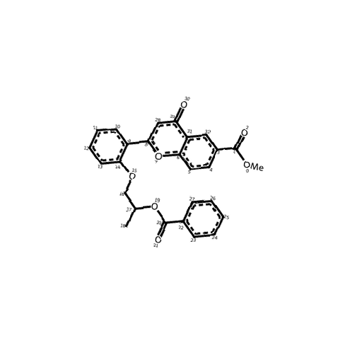 COC(=O)c1ccc2oc(-c3ccccc3OCC(C)OC(=O)c3ccccc3)cc(=O)c2c1